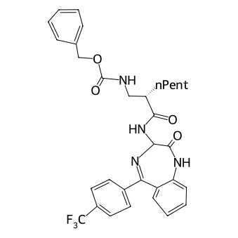 CCCCC[C@@H](CNC(=O)OCc1ccccc1)C(=O)NC1N=C(c2ccc(C(F)(F)F)cc2)c2ccccc2NC1=O